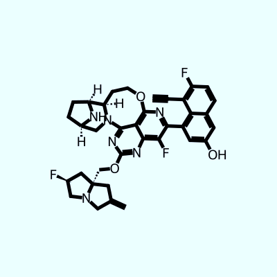 C#Cc1c(F)ccc2cc(O)cc(-c3nc4c5c(nc(OC[C@]67CC(=C)CN6C[C@@H](F)C7)nc5c3F)N3C[C@H]5CC[C@H](N5)[C@H]3CCO4)c12